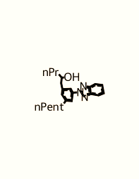 CCCCCc1cc(CC(O)CCC)cc(-n2nc3ccccc3n2)c1